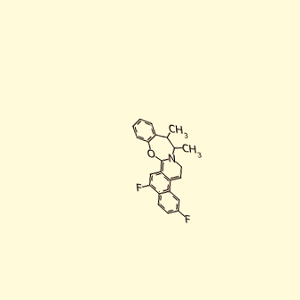 CC1c2ccccc2OC2=c3cc(F)c4ccc(F)cc4c3=CCN2C1C